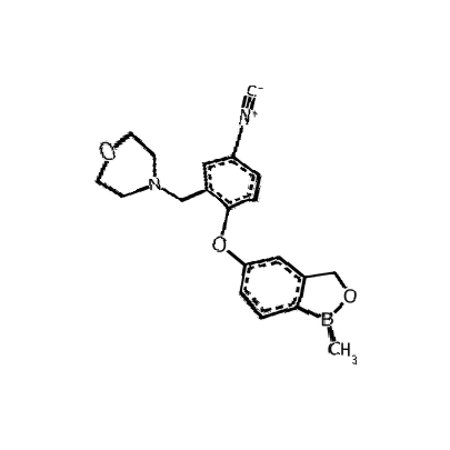 [C-]#[N+]c1ccc(Oc2ccc3c(c2)COB3C)c(CN2CCOCC2)c1